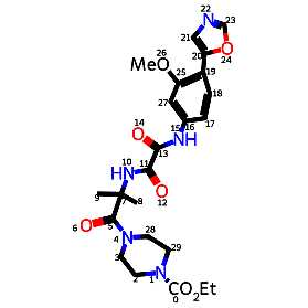 CCOC(=O)N1CCN(C(=O)C(C)(C)NC(=O)C(=O)Nc2ccc(-c3cnco3)c(OC)c2)CC1